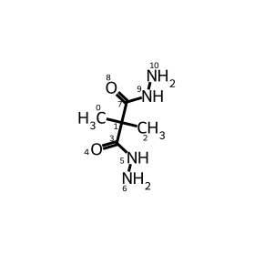 CC(C)(C(=O)NN)C(=O)NN